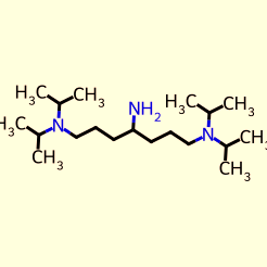 CC(C)N(CCCC(N)CCCN(C(C)C)C(C)C)C(C)C